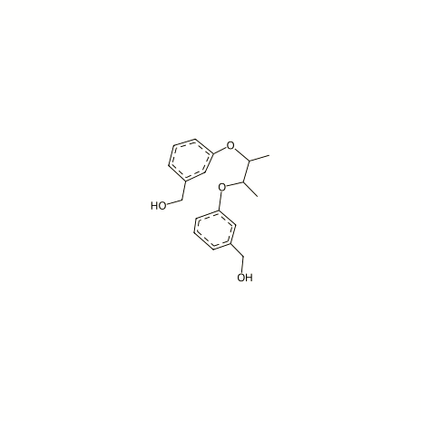 CC(Oc1cccc(CO)c1)C(C)Oc1cccc(CO)c1